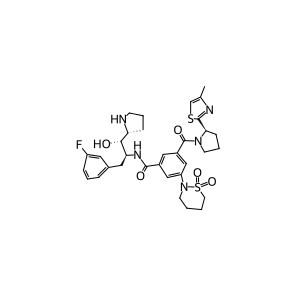 Cc1csc([C@H]2CCCN2C(=O)c2cc(C(=O)N[C@@H](Cc3cccc(F)c3)[C@H](O)[C@H]3CCCN3)cc(N3CCCCS3(=O)=O)c2)n1